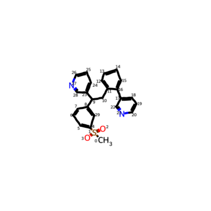 CS(=O)(=O)c1cccc(C(Cc2ccccc2-c2cccnc2)c2cccnc2)c1